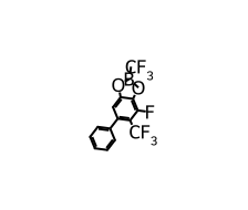 Fc1c2c(cc(-c3ccccc3)c1C(F)(F)F)OB(C(F)(F)F)O2